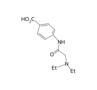 CCN(CC)CC(=O)Nc1ccc(C(=O)O)cc1